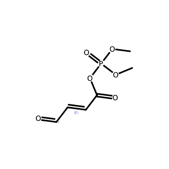 COP(=O)(OC)OC(=O)/C=C/[C]=O